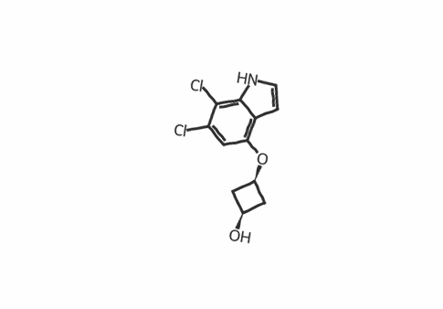 O[C@H]1C[C@@H](Oc2cc(Cl)c(Cl)c3[nH]ccc23)C1